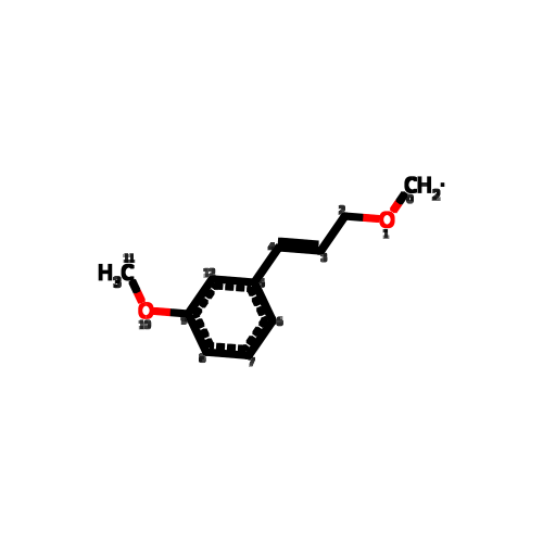 [CH2]OCC=Cc1cccc(OC)c1